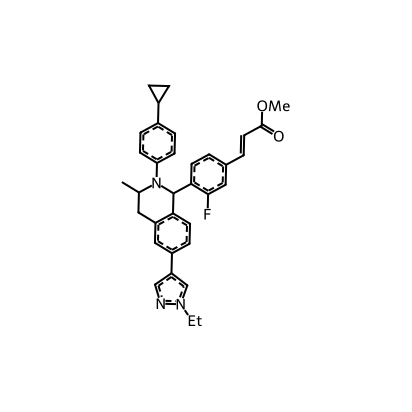 CCn1cc(-c2ccc3c(c2)CC(C)N(c2ccc(C4CC4)cc2)C3c2ccc(/C=C/C(=O)OC)cc2F)cn1